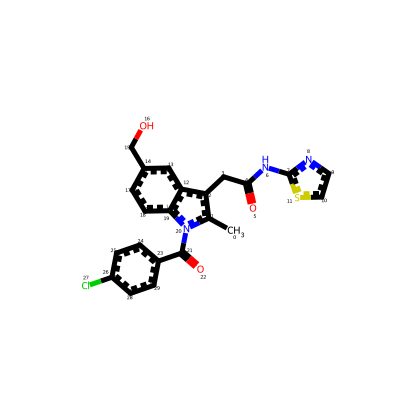 Cc1c(CC(=O)Nc2nccs2)c2cc(CO)ccc2n1C(=O)c1ccc(Cl)cc1